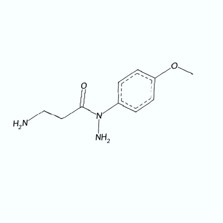 COc1ccc(N(N)C(=O)CCN)cc1